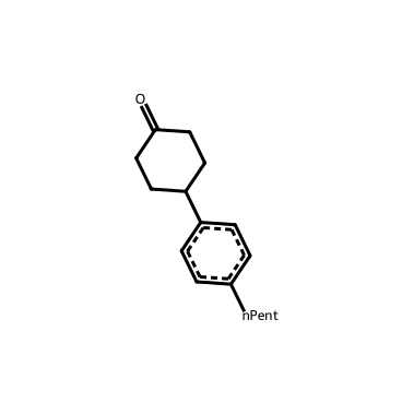 CCCCCc1ccc(C2CCC(=O)CC2)cc1